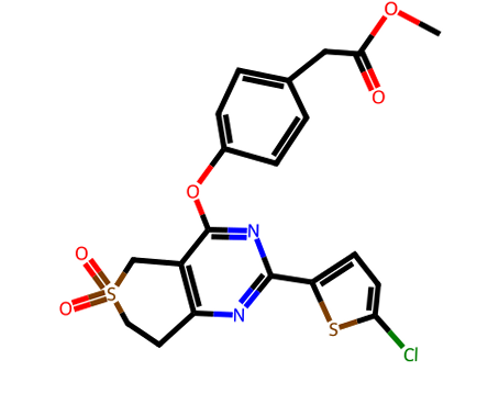 COC(=O)Cc1ccc(Oc2nc(-c3ccc(Cl)s3)nc3c2CS(=O)(=O)CC3)cc1